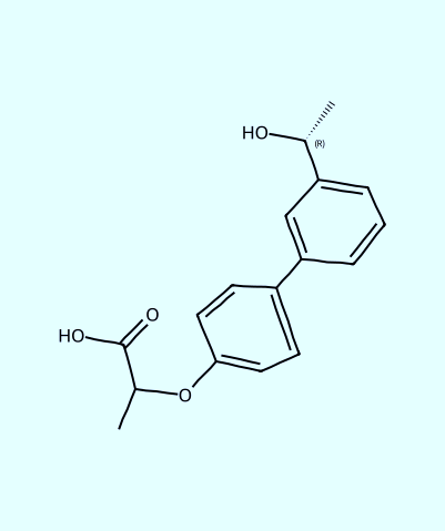 CC(Oc1ccc(-c2cccc([C@@H](C)O)c2)cc1)C(=O)O